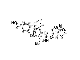 CC[C@H](NC(=O)O[C@H]1CO[C@H]2OCC[C@H]21)[C@@H](CN(CC(C)C)S(=O)(=O)c1ccc(CO)cc1)N=O